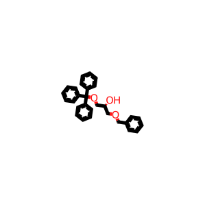 O[C@@H](COCc1ccccc1)COC(c1ccccc1)(c1ccccc1)c1ccccc1